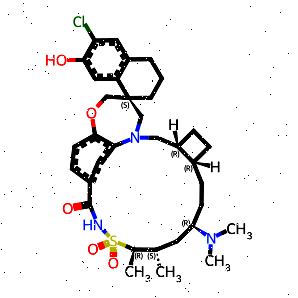 C[C@@H]1[C@@H](C)C[C@H](N(C)C)CC[C@H]2CC[C@H]2CN2C[C@@]3(CCCc4cc(Cl)c(O)cc43)COc3ccc(cc32)C(=O)NS1(=O)=O